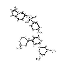 N[C@@H]1C[C@H](N)CN(c2nc(Nc3ccc(S(=O)(=O)Nc4ccc5cn[nH]c5c4)cc3)nc(N3CCCC(O)C3)n2)C1